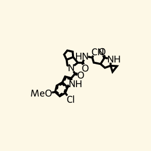 COc1cc(Cl)c2[nH]c(C(=O)N3CC4CCCC4C3C(=O)NC(C#N)CC3CC4(CC4)NC3=O)cc2c1